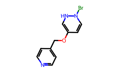 BrN1C=CC(OCc2ccncc2)=CN1